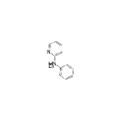 [Zn].c1ccc(Nc2ccccn2)cc1